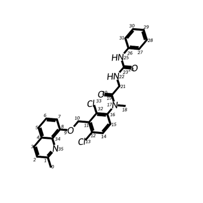 Cc1ccc2cccc(OCc3c(Cl)ccc(N(C)C(=O)CNC(=O)Nc4ccccc4)c3Cl)c2n1